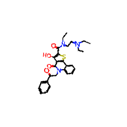 CCN(CC)CCN(CC)C(=O)c1sc2c(c1O)c(=O)n(CC(=O)c1ccccc1)c1ccccc21